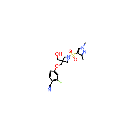 Cc1nn(C)cc1S(=O)(=O)N1CC(CO)(COc2ccc(C#N)c(F)c2)C1